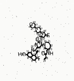 C#Cc1c(F)ccc2cc(O)cc(N(C)Cc3cc(N4CCCCC(NC(=O)C=C)C4)nc(OC[C@]4(C)C[C@@H](F)CN4C4CCN(C5CCOCC5)CC4)n3)c12